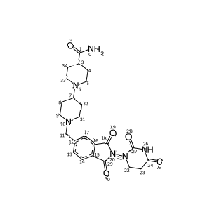 NC(=O)C1CCN(C2CCN(Cc3ccc4c(c3)C(=O)N(N3CCC(=O)NC3=O)C4=O)CC2)CC1